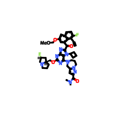 C#Cc1c(F)ccc2cc(OCOC)cc(C(=O)c3nc4nc(OC[C@@]56CCCN5C[C@H](F)C6)nc(N5CCCn6nc(C(=O)N(C)C)cc6C5)c4n3C3CCC3)c12